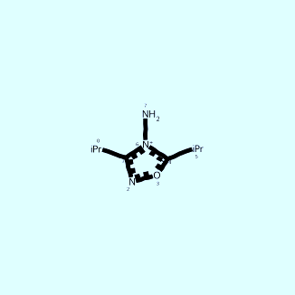 CC(C)c1noc(C(C)C)[n+]1N